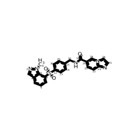 Cn1ncc2cccc(S(=O)(=O)c3ccc(CNC(=O)c4ccc5nccn5c4)cc3)c21